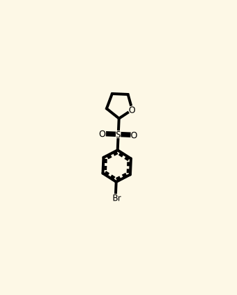 O=S(=O)(c1ccc(Br)cc1)C1CCCO1